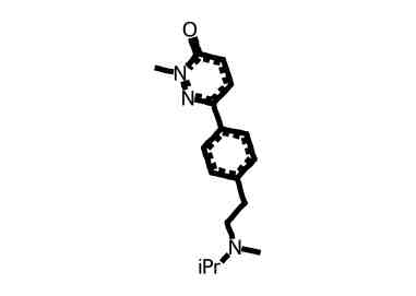 CC(C)N(C)CCc1ccc(-c2ccc(=O)n(C)n2)cc1